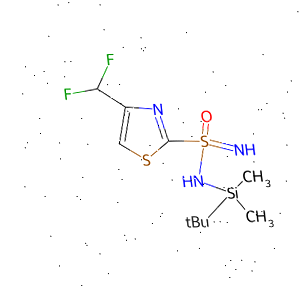 CC(C)(C)[Si](C)(C)NS(=N)(=O)c1nc(C(F)F)cs1